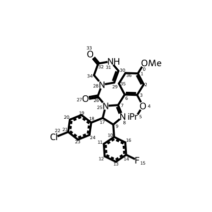 COC1=CC(OC(C)C)=C(C2=NC(c3cccc(F)c3)C(c3ccc(Cl)cc3)N2C(=O)N2C=CNC(=O)C2)CC1